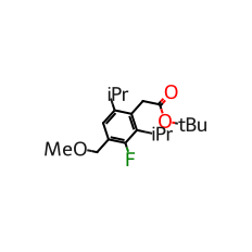 COCc1cc(C(C)C)c(CC(=O)OC(C)(C)C)c(C(C)C)c1F